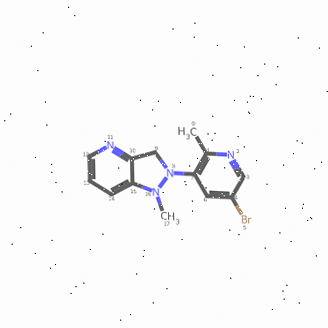 Cc1ncc(Br)cc1N1Cc2ncccc2N1C